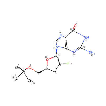 CC(C)(C)[Si](C)(C)OC[C@@H]1C[C@@H](F)[C@H](n2cnc3c(=O)[nH]c(N)nc32)O1